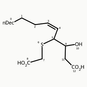 CCCCCCCCCCCC/C=C\C(SCC(=O)O)C(O)CC(=O)O